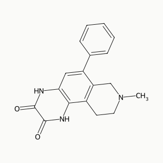 CN1CCc2c(c(-c3ccccc3)cc3[nH]c(=O)c(=O)[nH]c23)C1